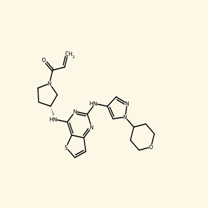 C=CC(=O)N1CC[C@@H](Nc2nc(Nc3cnn(C4CCOCC4)c3)nc3ccsc23)C1